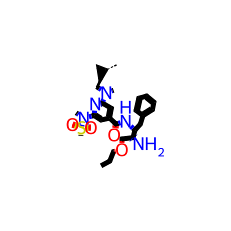 CCCOC[C@H](N)C(Cc1ccccc1)NC(=O)c1cc(N(C)C[C@H]2C[C@@H]2C)nc(N(C)S(C)(=O)=O)c1